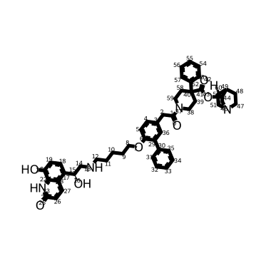 O=C(Cc1ccc(OCCCCCNC[C@H](O)c2ccc(O)c3[nH]c(=O)ccc23)c(-c2ccccc2)c1)N1CCC(C(=O)O[C@H]2CN3CCC2CC3)(c2ccccc2)CC1